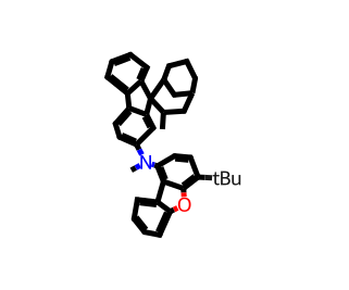 CC1CC2CCCC(C2)C12c1ccccc1-c1ccc(N(C)c3ccc(C(C)(C)C)c4oc5ccccc5c34)cc12